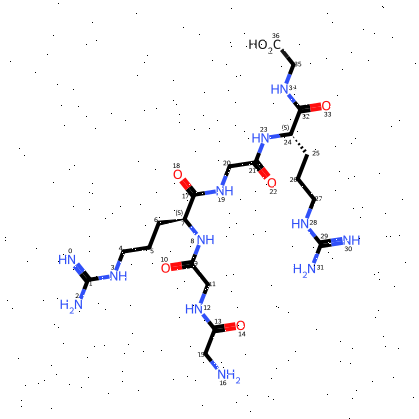 N=C(N)NCCC[C@H](NC(=O)CNC(=O)CN)C(=O)NCC(=O)N[C@@H](CCCNC(=N)N)C(=O)NCC(=O)O